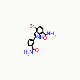 NC(=O)c1cccc(-c2cc3c(Br)ccc(C(N)=O)c3[nH]2)c1